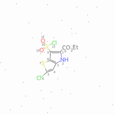 CCOC(=O)c1[nH]c2cc(Cl)sc2c1S(=O)(=O)Cl